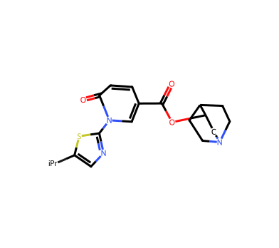 CC(C)c1cnc(-n2cc(C(=O)OC3CN4CCC3CC4)ccc2=O)s1